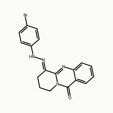 O=c1c2ccccc2nc2n1CCC/C2=N\Nc1ccc(Br)cc1